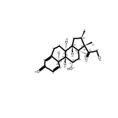 C[C@@H]1C[C@H]2[C@@H]3CCC4=CC(=O)C=C[C@]4(C)[C@H]3[C@@H](O)C[C@]2(C)[C@@]1(C)C(=O)CCl